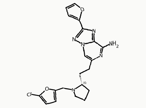 Nc1nc(CC[C@@H]2CCCN2Cc2ccc(Cl)o2)cn2nc(-c3ccco3)nc12